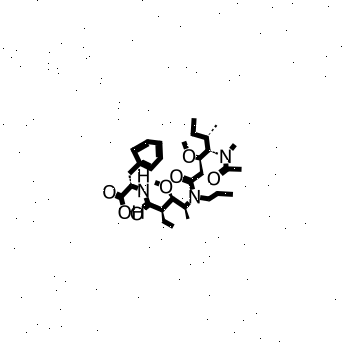 CCCN(C(=O)C[C@@H](OC)[C@H]([C@@H](C)CC)N(C)C(C)=O)[C@@H](C)[C@H](OC)[C@@H](CC)C(=O)N[C@@H](Cc1ccccc1)C(=O)O